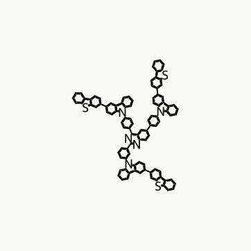 c1cc(-c2nc(-c3ccc(-n4c5ccccc5c5cc(-c6ccc7c(c6)sc6ccccc67)ccc54)cc3)c3cc(-c4ccc(-n5c6ccccc6c6cc(-c7ccc8c(c7)sc7ccccc78)ccc65)cc4)ccc3n2)cc(-n2c3ccccc3c3cc(-c4ccc5c(c4)sc4ccccc45)ccc32)c1